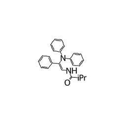 CC(C)C(=O)NC=C(c1ccccc1)N(c1ccccc1)c1ccccc1